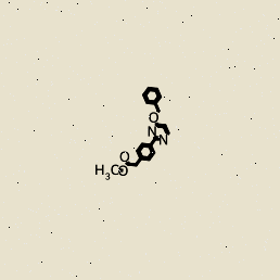 COC(=O)Cc1ccc(-c2nccc(OCc3ccccc3)n2)cc1